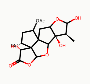 CC(=O)OC1C[C@@H](C(C)(C)C)C23C(OC(=O)[C@@H]2O)OC2C13CC1OC(O)[C@@H](C)[C@@]12O